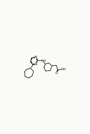 O=C(O)CN1CCCC(Nc2nccc(N3CCCCCC3)n2)C1